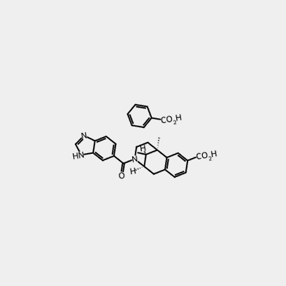 C[C@@H]1[C@H]2Cc3ccc(C(=O)O)cc3[C@]1(C)CCN2C(=O)c1ccc2nc[nH]c2c1.O=C(O)c1ccccc1